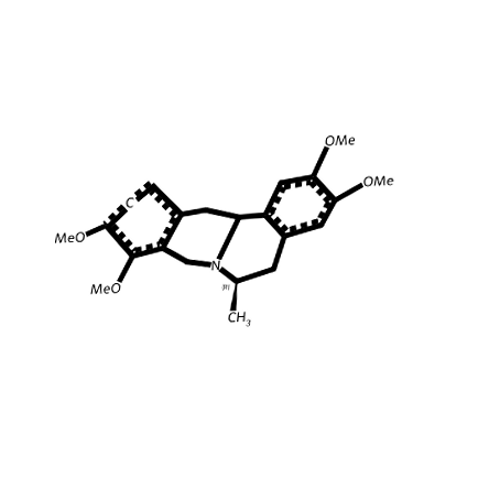 COc1cc2c(cc1OC)C1Cc3ccc(OC)c(OC)c3CN1[C@H](C)C2